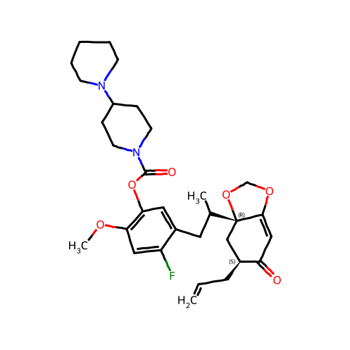 C=CC[C@H]1C[C@]2(C(C)Cc3cc(OC(=O)N4CCC(N5CCCCC5)CC4)c(OC)cc3F)OCOC2=CC1=O